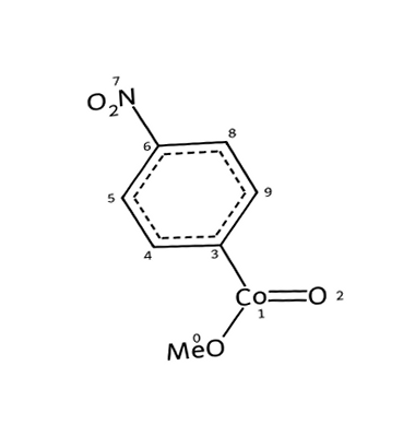 C[O][Co](=[O])[c]1ccc([N+](=O)[O-])cc1